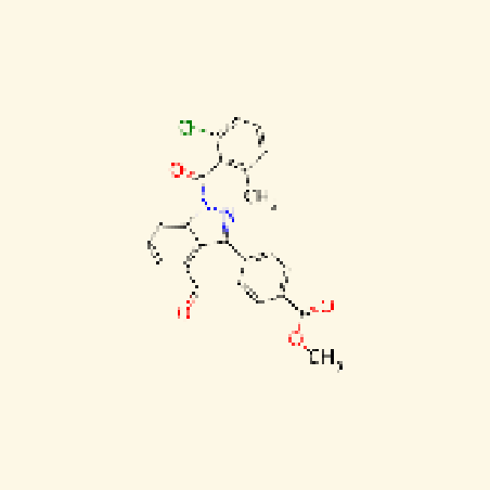 COC(=O)c1ccc(-c2nn(C(=O)c3c(C)cccc3Cl)c3cccc(C=O)c23)cc1